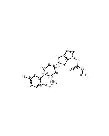 COC(=O)Cn1ncc2c1CN([C@H]1CO[C@H](C3CC(F)=CC=C3F)[C@@H](N)C1)C2